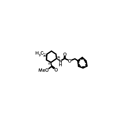 COC(=O)[C@H]1C[C@H](C)CC[C@H]1NC(=O)OCc1ccccc1